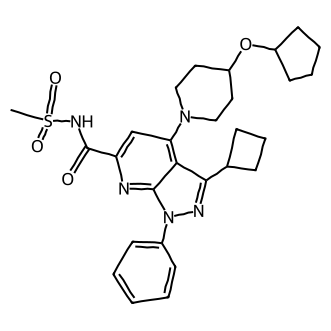 CS(=O)(=O)NC(=O)c1cc(N2CCC(OC3CCCC3)CC2)c2c(C3CCC3)nn(-c3ccccc3)c2n1